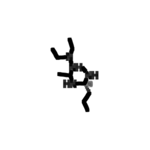 CCC[C@@H](NC)NC(C)NN(CC)CC